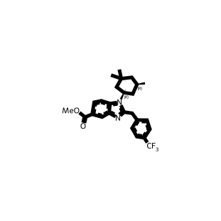 COC(=O)c1ccc2c(c1)nc(Cc1ccc(C(F)(F)F)cc1)n2[C@@H]1C[C@H](C)CC(C)(C)C1